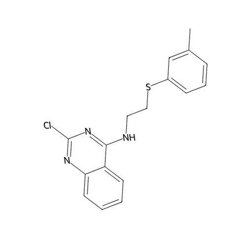 Cc1cccc(SCCNc2nc(Cl)nc3ccccc23)c1